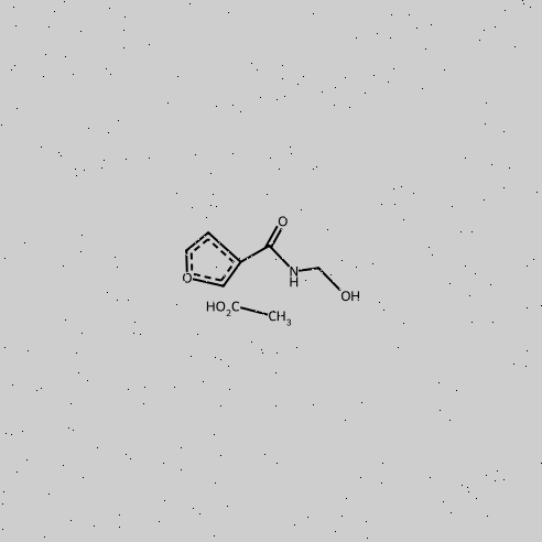 CC(=O)O.O=C(NCO)c1ccoc1